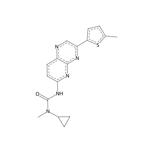 Cc1ccc(-c2cnc3ccc(NC(=O)N(C)C4CC4)nc3n2)s1